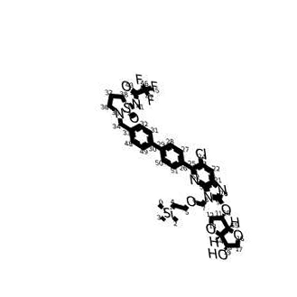 C[Si](C)(C)CCOCn1c(O[C@@H]2CO[C@H]3[C@@H]2OC[C@H]3O)nc2cc(Cl)c(-c3ccc(-c4ccc(CN5CCCS5(=O)=NC(=O)C(F)(F)F)cc4)cc3)nc21